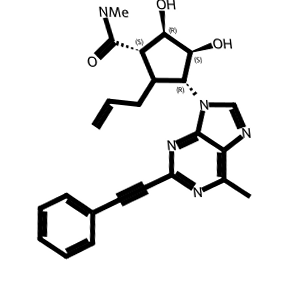 C=CCC1[C@@H](n2cnc3c(C)nc(C#Cc4ccccc4)nc32)[C@H](O)[C@H](O)[C@H]1C(=O)NC